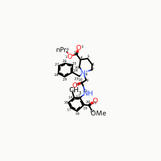 CCCOC(=O)C1CCC[N+](CC(=O)Nc2c(C)cccc2C(=O)OC)(Cc2ccccc2)C1